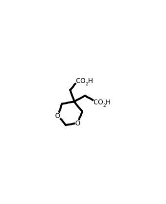 O=C(O)CC1(CC(=O)O)COCOC1